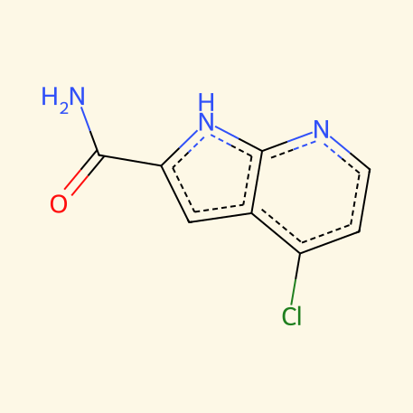 NC(=O)c1cc2c(Cl)ccnc2[nH]1